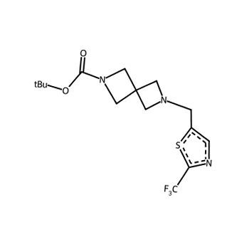 CC(C)(C)OC(=O)N1CC2(CN(Cc3cnc(C(F)(F)F)s3)C2)C1